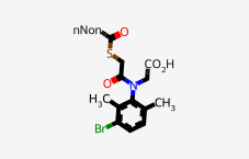 CCCCCCCCCC(=O)SCC(=O)N(CC(=O)O)c1c(C)ccc(Br)c1C